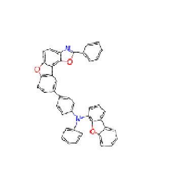 c1ccc(-c2nc3ccc4oc5ccc(-c6ccc(N(c7ccccc7)c7cccc8c7oc7ccccc78)cc6)cc5c4c3o2)cc1